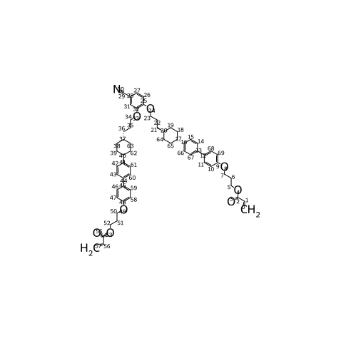 C=CC(=O)OCCCOc1ccc(-c2ccc([C@H]3CC[C@H](CCCOc4ccc(C#N)cc4OCCC[C@H]4CC[C@H](c5ccc(-c6ccc(OCCCOC(=O)C=C)cc6)cc5)CC4)CC3)cc2)cc1